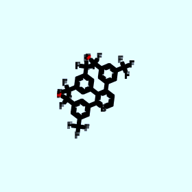 FC(F)(F)c1cc(-c2bccc(-c3cc(C(F)(F)F)cc(C(F)(F)F)c3)c2-c2cc(C(F)(F)F)cc(C(F)(F)F)c2)cc(C(F)(F)F)c1